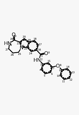 O=C(Nc1cccc(Oc2ccccc2)c1)c1ccc2cc3n(c2c1)CCCNC3=O